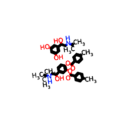 CC(C)NCC(O)c1cc(O)cc(O)c1.Cc1ccc(C(=O)Oc2ccc(C(O)CNC(C)(C)C)cc2OC(=O)c2ccc(C)cc2)cc1